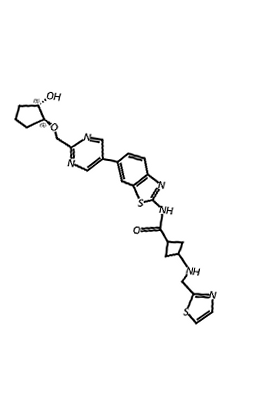 O=C(Nc1nc2ccc(-c3cnc(CO[C@H]4CCC[C@@H]4O)nc3)cc2s1)C1CC(NCc2nccs2)C1